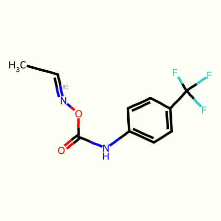 C/C=N/OC(=O)Nc1ccc(C(F)(F)F)cc1